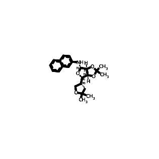 CC1(C)C[C@@H]([C@H]2O[C@H](Nc3ccc4ccccc4c3)[C@H]3OC(C)(C)O[C@@H]23)CO1